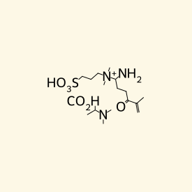 C=C(C)C(=O)CCC(N)[N+](C)(C)CCCS(=O)(=O)O.CC(C(=O)O)N(C)C